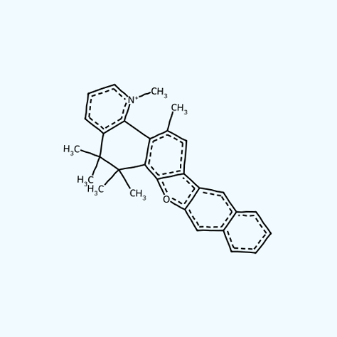 Cc1cc2c(oc3cc4ccccc4cc32)c2c1-c1c(ccc[n+]1C)C(C)(C)C2(C)C